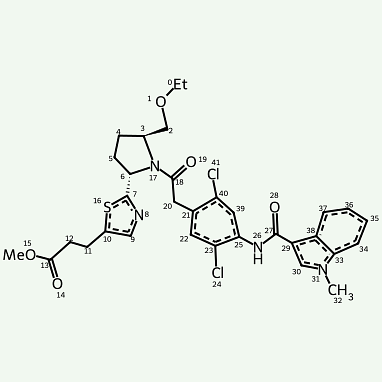 CCOC[C@@H]1CC[C@@H](c2ncc(CCC(=O)OC)s2)N1C(=O)Cc1cc(Cl)c(NC(=O)c2cn(C)c3ccccc23)cc1Cl